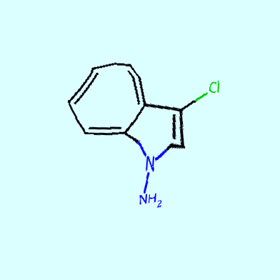 Nn1cc(Cl)c2ccccc21